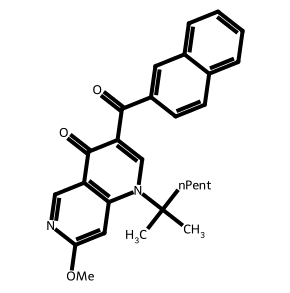 CCCCCC(C)(C)n1cc(C(=O)c2ccc3ccccc3c2)c(=O)c2cnc(OC)cc21